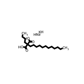 CCCCCCCCCCCCC(CCCC)(C(=O)O)C(=O)O.[KH].[NaH]